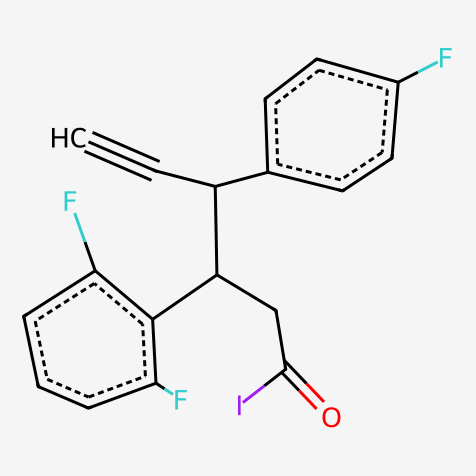 C#CC(c1ccc(F)cc1)C(CC(=O)I)c1c(F)cccc1F